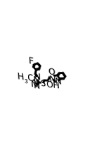 Cc1nnc(SCC(O)Cn2cnc3ccccc3c2=O)n1N=Cc1cccc(F)c1